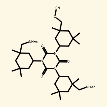 CC(=O)NCC1(C)CC(n2c(=O)n(C3CC(C)(C)CC(C)(CNC(C)=O)C3)c(=O)n(C3CC(C)(C)CC(C)(COC#N)C3)c2=O)CC(C)(C)C1